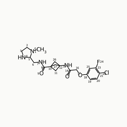 CN1CCNC1CNC(=O)C12CC(NC(=O)COc3ccc(Cl)c(F)c3)(C1)C2